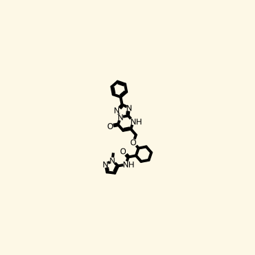 Cn1nccc1NC(=O)C1CCCCC1OCc1cc(=O)n2nc(-c3ccccc3)nc2[nH]1